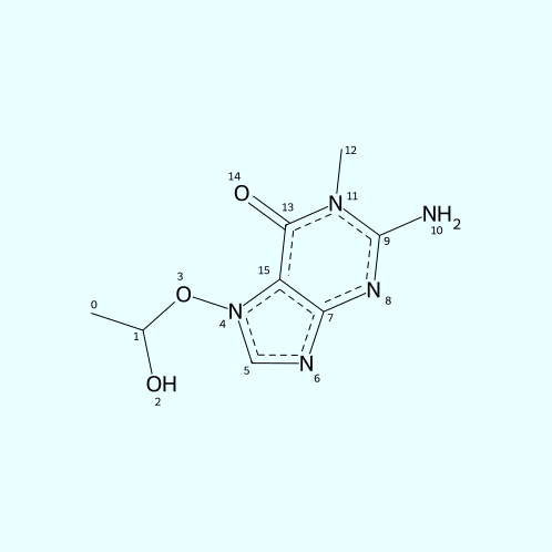 CC(O)On1cnc2nc(N)n(C)c(=O)c21